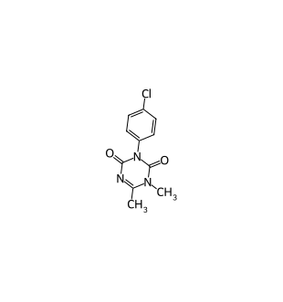 Cc1nc(=O)n(-c2ccc(Cl)cc2)c(=O)n1C